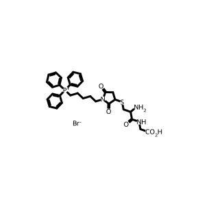 NC(CSC1CC(=O)N(CCCCC[P+](c2ccccc2)(c2ccccc2)c2ccccc2)C1=O)C(=O)NCC(=O)O.[Br-]